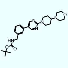 CC(C)(C)OC(=O)NCc1cccc(-c2cnc(N3CCC(N4CCOCC4)CC3)nc2)c1